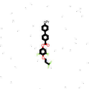 CCCc1ccc(-c2ccc(C(=O)Oc3cc(F)c(O/C=C/C(F)F)c(F)c3)cc2)cc1